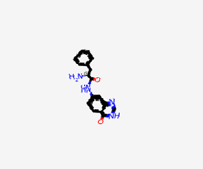 N[C@@H](Cc1ccccc1)C(=O)Nc1ccc2c(=O)[nH]cnc2c1